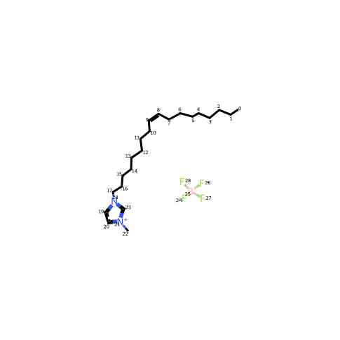 CCCCCCCC/C=C\CCCCCCCCn1cc[n+](C)c1.F[B-](F)(F)F